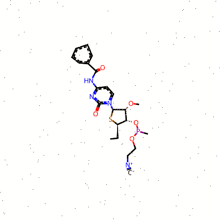 [C-]#[N+]CCOP(C)O[C@H]1[C@@H](OC)[C@H](n2ccc(NC(=O)c3ccccc3)nc2=O)S[C@@H]1CC